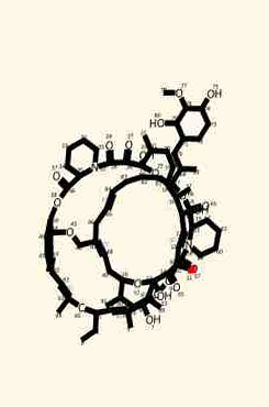 CCC1/C=C(\C)C(O)CCC(C)/C=C/C(O)C(C)C2CCC(C)C(O)(O2)C(=O)C(=O)N2CCCCC2C(=O)OC2C=CC(=CC2OC/C2=C\CC3OC(O)(C(=O)C(=O)N4CCCCC4C(=O)OC(C(C)CC4CCC(O)C(OC)C4O)CCC/C=C/C2)C(C)CC3C)/C=C(\C)C1